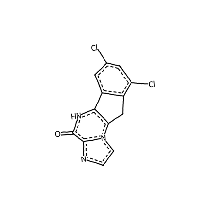 O=c1[nH]c2c(n3ccnc13)Cc1c(Cl)cc(Cl)cc1-2